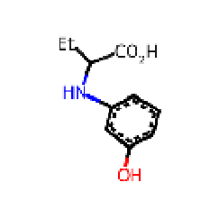 CCC(Nc1cccc(O)c1)C(=O)O